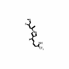 C=C(/C=C(F)\C=N/C)n1cc(/C(I)=C/C=C\C(=N)C(F)(F)F)cn1